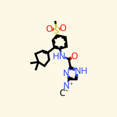 [C-]#[N+]c1c[nH]c(C(=O)Nc2ccc(S(C)(=O)=O)cc2C2=CCC(C)(C)CC2)n1